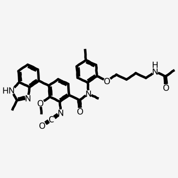 COc1c(-c2cccc3[nH]c(C)nc23)ccc(C(=O)N(C)c2ccc(C)cc2OCCCCNC(C)=O)c1N=C=O